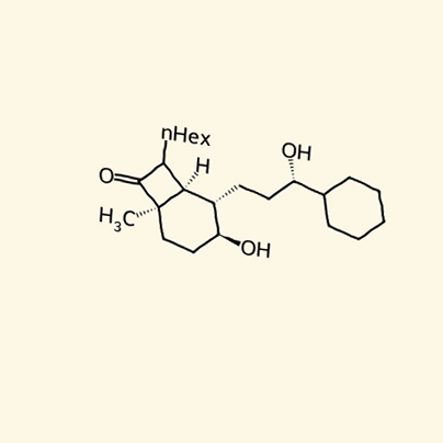 CCCCCCC1C(=O)[C@]2(C)CC[C@H](O)[C@@H](CC[C@H](O)C3CCCCC3)[C@H]12